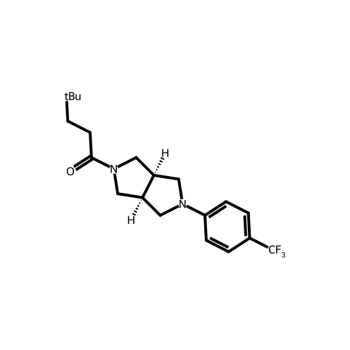 CC(C)(C)CCC(=O)N1C[C@@H]2CN(c3ccc(C(F)(F)F)cc3)C[C@@H]2C1